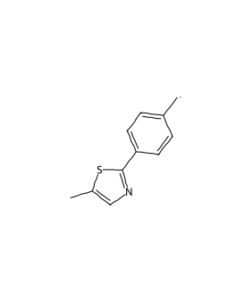 [CH2]c1ccc(-c2ncc(C)s2)cc1